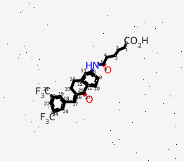 O=C(O)CCCCC(=O)Nc1ccc2c(c1)CCC(=Cc1cc(C(F)(F)F)cc(C(F)(F)F)c1)C2=O